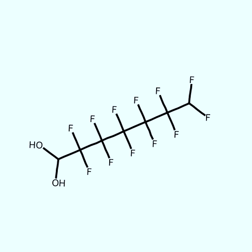 OC(O)C(F)(F)C(F)(F)C(F)(F)C(F)(F)C(F)(F)C(F)F